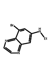 CCNc1cc(Br)c2nccnc2c1